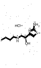 CCCCNC[C@H](O)c1csc(N)n1.Cl